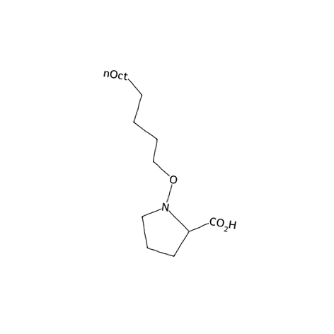 CCCCCCCCCCCCON1CCCC1C(=O)O